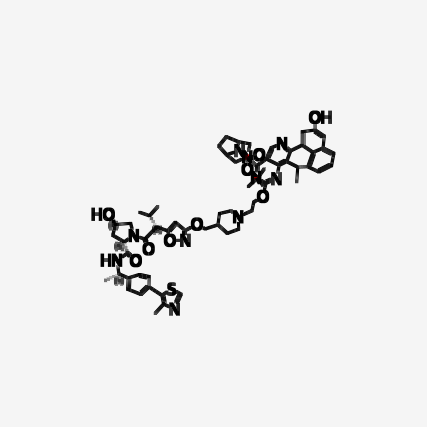 Cc1ncsc1-c1ccc([C@H](C)NC(=O)[C@@H]2C[C@@H](O)CN2C(=O)[C@@H](c2cc(OCC3CCN(CCOc4nc(N5CC6CCC(C5)N6C(=O)OC(C)(C)C)c5cnc6c(c5n4)C(C)c4cccc5cc(O)cc-6c45)CC3)no2)C(C)C)cc1